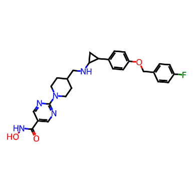 O=C(NO)c1cnc(N2CCC(CNC3CC3c3ccc(OCc4ccc(F)cc4)cc3)CC2)nc1